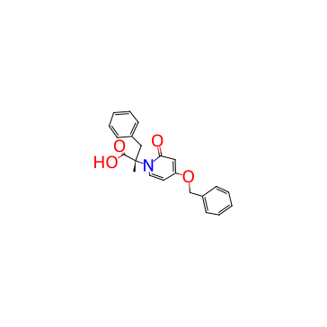 C[C@](Cc1ccccc1)(C(=O)O)n1ccc(OCc2ccccc2)cc1=O